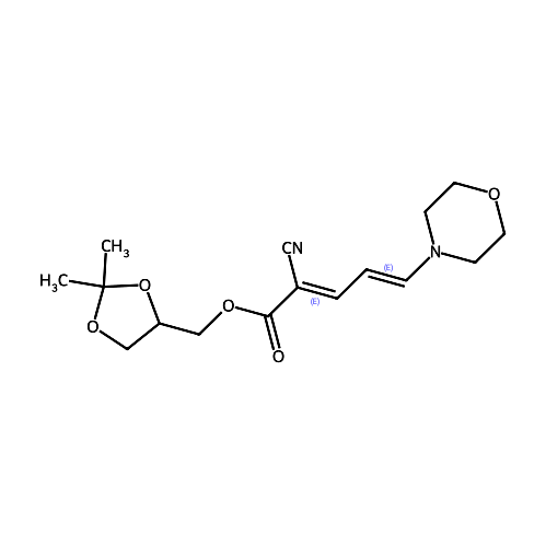 CC1(C)OCC(COC(=O)/C(C#N)=C/C=C/N2CCOCC2)O1